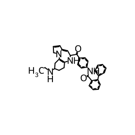 CCNC1CCC2=C(C1)N1CC=CC1=CC(C(=O)c1ccc(NC(=O)c3ccccc3-c3ccccc3)cc1)N2